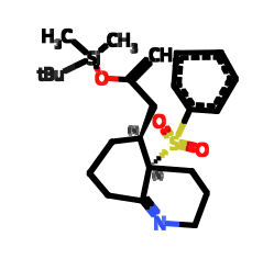 C=C(C[C@@H]1CCCC2=NCCC[C@@]21S(=O)(=O)c1ccccc1)O[Si](C)(C)C(C)(C)C